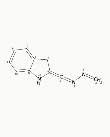 C=NN=C=C1Cc2ccccc2N1